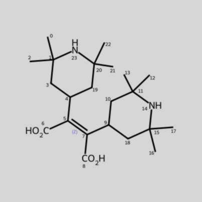 CC1(C)CC(/C(C(=O)O)=C(/C(=O)O)C2CC(C)(C)NC(C)(C)C2)CC(C)(C)N1